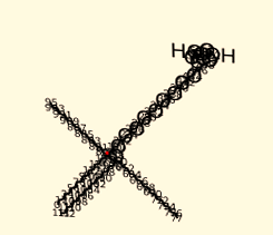 CCCCCCCCCCCCCCCCCCC(COCCOCCOCCOCCOCCOCCOCCOCCOCCC1COP(=O)(O)OP(=O)(O)O1)OC(CCCCCCCCCCCCCCCCCC)(CCCCCCCCCCCCCCCCCC)CCCCCCCCCCCCCCCCCC